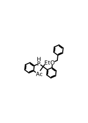 CCC(C)(Pc1ccccc1C(C)=O)c1ccccc1OCc1ccccc1